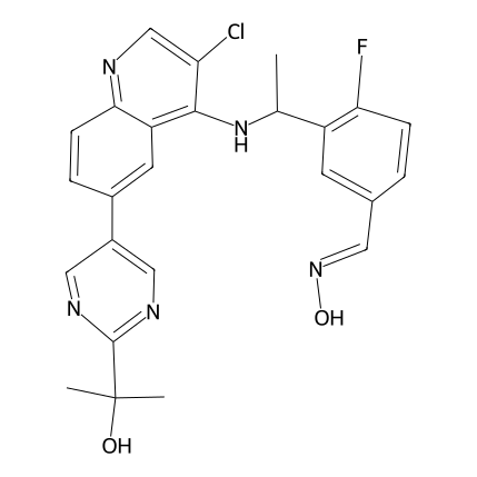 CC(Nc1c(Cl)cnc2ccc(-c3cnc(C(C)(C)O)nc3)cc12)c1cc(C=NO)ccc1F